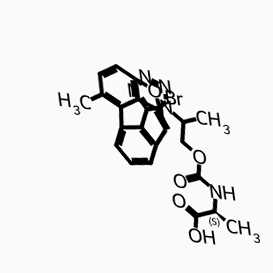 Cc1ccc2oc3c(Br)c2c1-c1cccc-3c1-c1nnnn1C(C)COC(=O)N[C@@H](C)C(=O)O